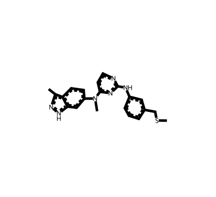 CSCc1cccc(Nc2nccc(N(C)c3ccc4c(C)n[nH]c4c3)n2)c1